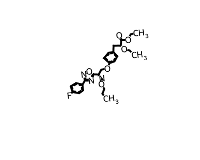 CCCON=C(COc1ccc(CC(OCC)C(=O)OCC)cc1)c1nc(-c2ccc(F)cc2)no1